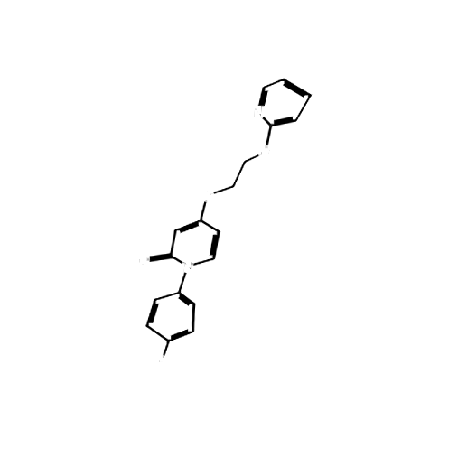 O=c1cc(OCCOc2ccccn2)ccn1-c1ccc(F)cc1